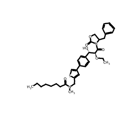 CCCCCCCC(=O)N(C)Cc1cc(-c2ccc([C@H](O)[C@H](OCC)C(=O)N3C(=O)OCC3Cc3ccccc3)cc2)cs1